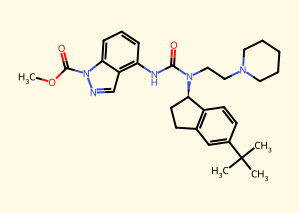 COC(=O)n1ncc2c(NC(=O)N(CCN3CCCCC3)[C@@H]3CCc4cc(C(C)(C)C)ccc43)cccc21